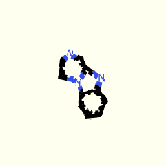 c1ccc2c(c1)nc1cnccn12